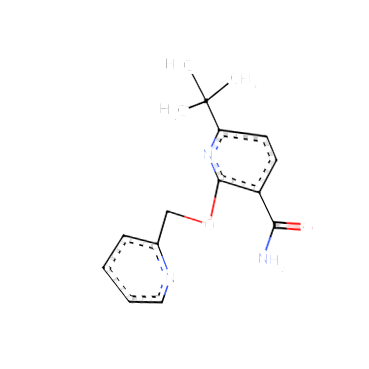 CC(C)(C)c1ccc(C(N)=O)c(OCc2ccccn2)n1